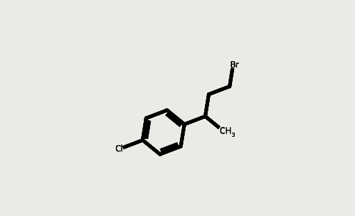 CC(CCBr)c1ccc(Cl)cc1